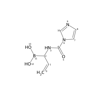 C=CC(NC(=O)n1ccnc1)B(O)O